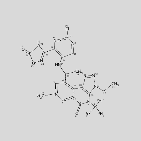 [2H]C([2H])([2H])n1c(=O)c2cc(C)cc(C(C)Nc3ccc(Cl)nc3-c3noc(=O)[nH]3)c2c2cnn(CC)c21